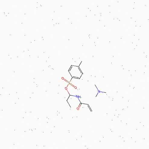 C=CC(=O)NC(CC)OS(=O)(=O)c1ccc(C)cc1.CN(C)C